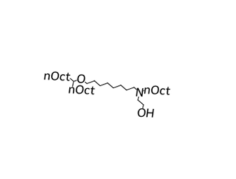 CCCCCCCCC(CCCCCCCC)OCCCCCCCCN(CCO)CCCCCCCC